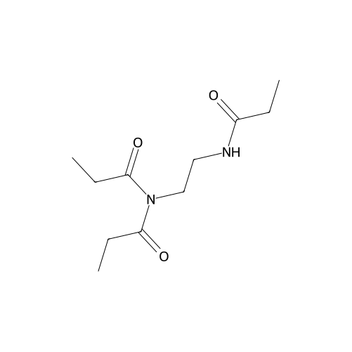 CCC(=O)NCCN(C(=O)CC)C(=O)CC